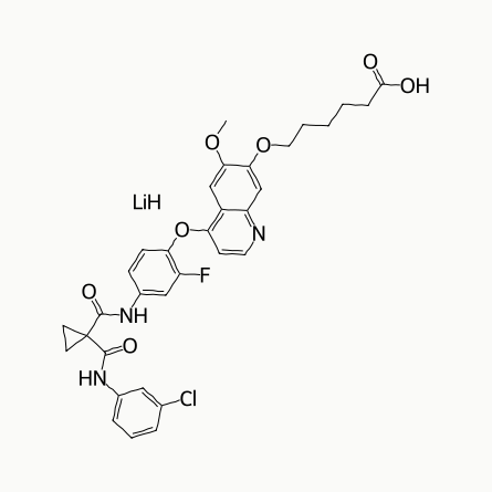 COc1cc2c(Oc3ccc(NC(=O)C4(C(=O)Nc5cccc(Cl)c5)CC4)cc3F)ccnc2cc1OCCCCCC(=O)O.[LiH]